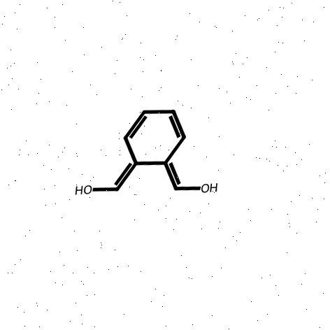 OC=c1c[c]ccc1=CO